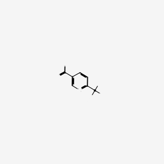 CC(=O)c1ccc(C(C)(C)O)nc1